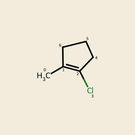 CC1=C(Cl)CCC1